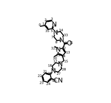 Cc1ccnc(N2CCN(C(=O)c3cc(CN4CCN(c5ccccc5C#N)CC4)c(C)n3C)CC2)c1